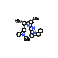 CC(C)(C)c1cc(-c2ccc3c(c2)c2ccccc2n3-c2ccccc2)c2c(c1)c1cc(C(C)(C)C)cc3c4nc5c(cc4n2c13)c1cc(C(C)(C)C)cc2c3ccc4ccccc4c3n5c12